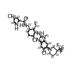 Cn1c(Nc2c(Cl)ccc(CNC(=O)c3cc(Cl)c[nH]3)c2CI)nc2cc(Cl)c(N3CCCC(C(F)(F)F)C3)cc21